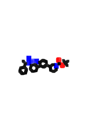 C[C@@H](NC1CCCc2c1[nH]c1ccc(C3=CCCN(C(=O)OC(C)(C)C)C3)cc21)c1ccccc1